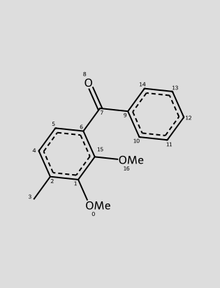 COc1c(C)ccc(C(=O)c2ccccc2)c1OC